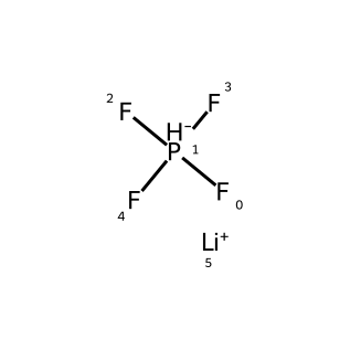 F[PH-](F)(F)F.[Li+]